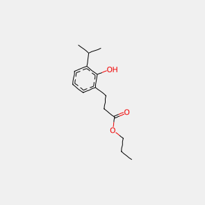 CCCOC(=O)CCc1cccc(C(C)C)c1O